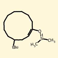 C[SiH](C)OC1=CCC(C(C)(C)C)CCCCCCCC1